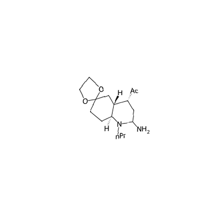 CCCN1C(N)C[C@@H](C(C)=O)[C@H]2CC3(CC[C@@H]21)OCCO3